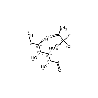 NC(=O)C(Cl)(Cl)Cl.O=C[C@H](O)[C@@H](O)[C@H](O)[C@H](O)CO